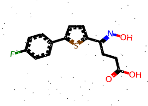 O=C(O)CCC(=NO)c1ccc(-c2ccc(F)cc2)s1